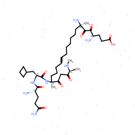 CN[C@@H](C)C(=O)CC(=O)[C@](C)(CCC/C=C/CCCCCC[C@@](C)(N)C(=O)C(=O)[C@@H](N)CCC(=O)O)NC(=O)[C@H](CC1CCC1)NC(=O)[C@@H](N)CCC(N)=O